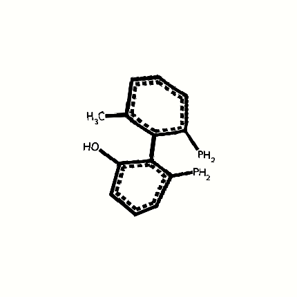 Cc1cccc(P)c1-c1c(O)cccc1P